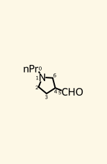 CCCN1CCC(C=O)C1